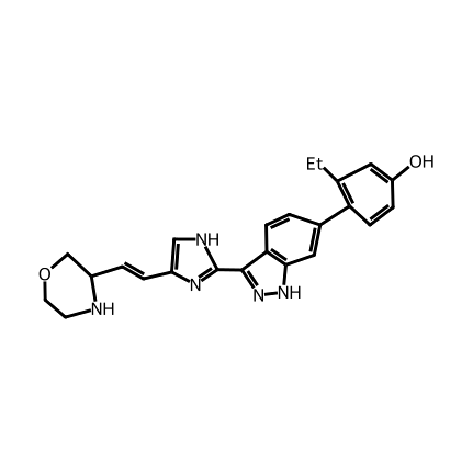 CCc1cc(O)ccc1-c1ccc2c(-c3nc(C=CC4COCCN4)c[nH]3)n[nH]c2c1